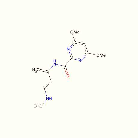 C=C(CCNC=O)NC(=O)c1nc(OC)cc(OC)n1